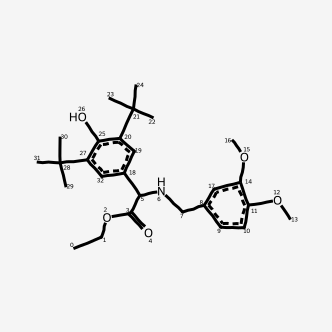 CCOC(=O)C(NCc1ccc(OC)c(OC)c1)c1cc(C(C)(C)C)c(O)c(C(C)(C)C)c1